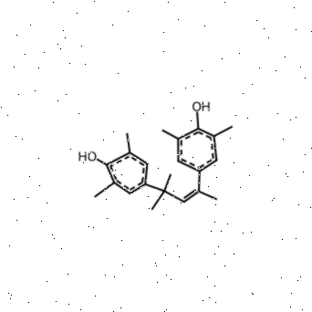 CC(=CC(C)(C)c1cc(C)c(O)c(C)c1)c1cc(C)c(O)c(C)c1